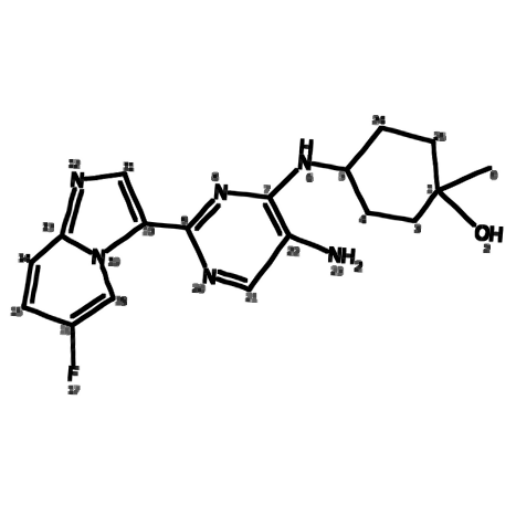 CC1(O)CCC(Nc2nc(-c3cnc4ccc(F)cn34)ncc2N)CC1